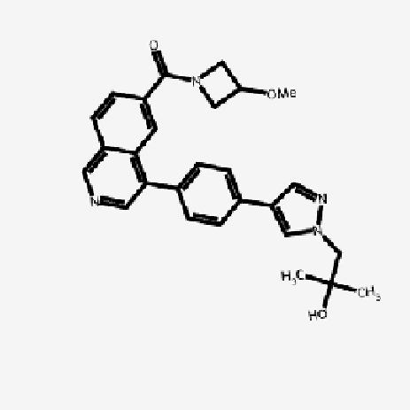 COC1CN(C(=O)c2ccc3cncc(-c4ccc(-c5cnn(CC(C)(C)O)c5)cc4)c3c2)C1